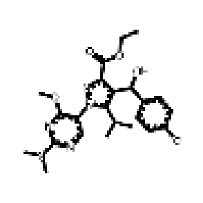 CCOC(=O)c1nn(-c2cnc(N(C)C)nc2OC)c(C(C)C)c1C(O)c1ccc(Cl)cc1